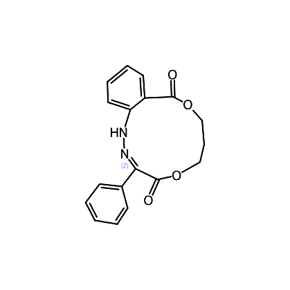 O=C1OCCCOC(=O)c2ccccc2N/N=C\1c1ccccc1